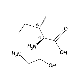 CC[C@H](C)[C@H](N)C(=O)O.NCCO